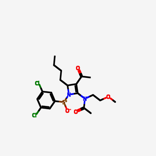 CCCCC1C(C(C)=O)=C(N(CCOC)C(C)=O)N1[S+]([O-])c1cc(Cl)cc(Cl)c1